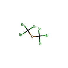 BrC(Br)(Br)SC(Br)(Br)Br